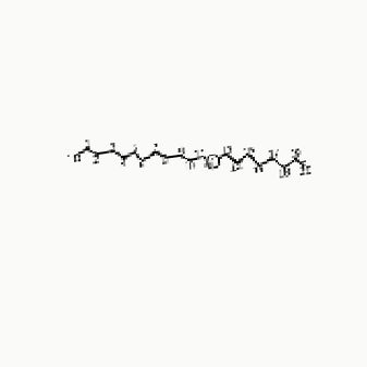 [CH2]CCCCCCCCCCCOCCCCCCC[CH2]